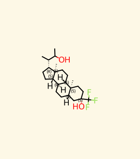 CC(O)C(C)[C@H]1CC[C@H]2[C@@H]3CC[C@H]4C[C@](O)(C(F)(F)F)CC[C@]4(C)[C@H]3CC[C@]12C